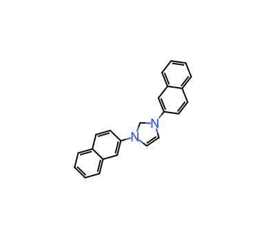 C1=CN(c2ccc3ccccc3c2)CN1c1ccc2ccccc2c1